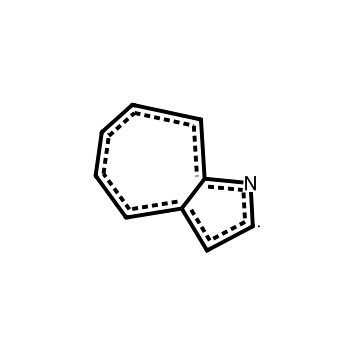 [c]1cc2cccccc-2n1